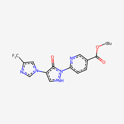 CC(C)(C)OC(=O)c1ccc(-n2[nH]cc(-n3cnc(C(F)(F)F)c3)c2=O)nc1